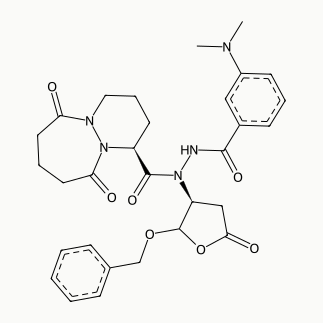 CN(C)c1cccc(C(=O)NN(C(=O)[C@@H]2CCCN3C(=O)CCCC(=O)N23)[C@H]2CC(=O)OC2OCc2ccccc2)c1